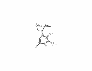 COC[C@H](C1CC1)n1cc(I)nc(C)c1=O